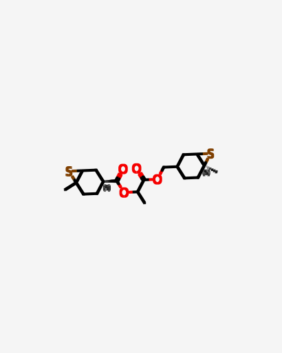 CC(OC(=O)[C@H]1CCC2(C)SC2C1)C(=O)OCC1CC[C@]2(C)SC2C1